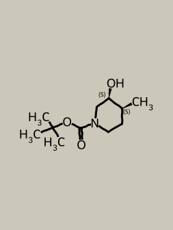 C[C@H]1CCN(C(=O)OC(C)(C)C)C[C@H]1O